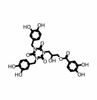 O=C(OCC(O)Cn1c(=O)n(Cc2ccc(O)c(O)c2)c(=O)n(Cc2ccc(O)c(O)c2)c1=O)c1ccc(O)c(O)c1